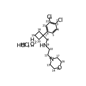 Cl.Cl.Clc1ccc(C2(CNCCN3CCOCC3)CCC2)cc1Cl.O